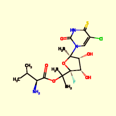 BC(B)(OC(=O)[C@@H](N)C(C)C)[C@@]1(F)O[C@@](B)(n2cc(Cl)c(=S)[nH]c2=O)[C@H](O)[C@@H]1O